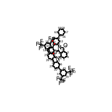 O=C1c2cccc(-n3c4cc(-c5cc(C(F)(F)F)cc(C(F)(F)F)c5)ccc4c4ccc(-c5cc(C(F)(F)F)cc(C(F)(F)F)c5)cc43)c2C(=O)N1c1cc(-c2ccccc2)ccc1-c1ccccc1